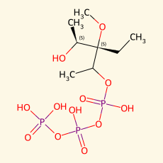 CC[C@@](OC)(C(C)OP(=O)(O)OP(=O)(O)OP(=O)(O)O)[C@H](C)O